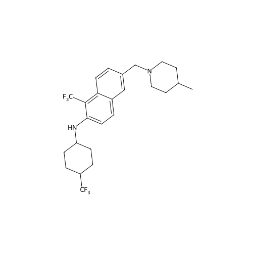 CC1CCN(Cc2ccc3c(C(F)(F)F)c(NC4CCC(C(F)(F)F)CC4)ccc3c2)CC1